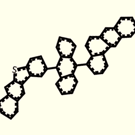 c1ccc2cc3c(ccc4c(-c5c6ccccc6c(-c6ccc7sc8cc9ccccc9cc8c7c6)c6ccccc56)cccc43)cc2c1